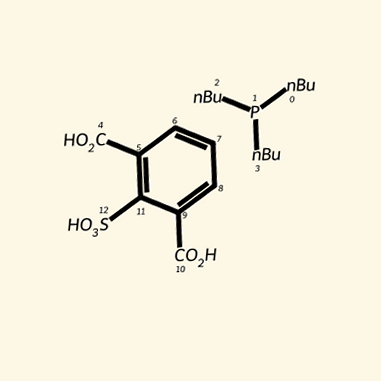 CCCCP(CCCC)CCCC.O=C(O)c1cccc(C(=O)O)c1S(=O)(=O)O